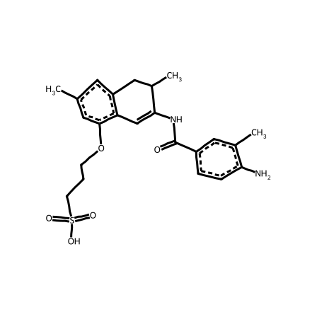 Cc1cc2c(c(OCCCS(=O)(=O)O)c1)C=C(NC(=O)c1ccc(N)c(C)c1)C(C)C2